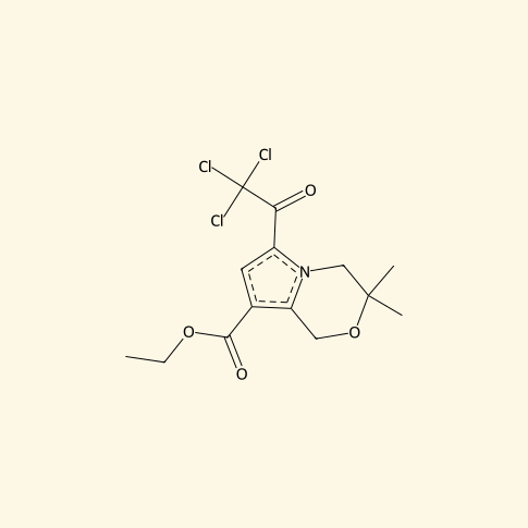 CCOC(=O)c1cc(C(=O)C(Cl)(Cl)Cl)n2c1COC(C)(C)C2